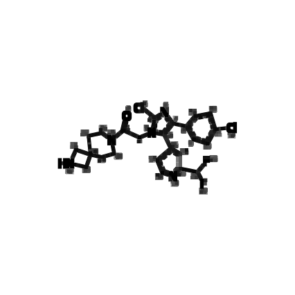 O=C(Cn1c(Cl)nc(-c2ccc(Cl)cc2)c1-c1ccnc(C(F)F)c1)N1CCC2(CC1)CNC2